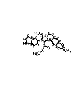 CCOC(=O)c1c(-c2ccc3[nH]ccc3c2)c(C)n2c1-c1cc3c(cc1CC2)OC(C)O3